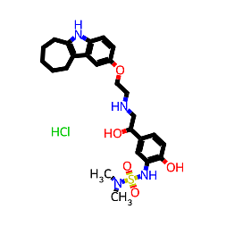 CN(C)S(=O)(=O)Nc1cc(C(O)CNCCOc2ccc3[nH]c4c(c3c2)CCCCC4)ccc1O.Cl